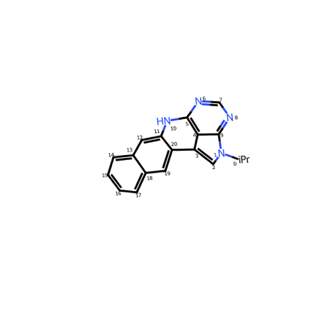 CC(C)n1cc2c3c(ncnc31)Nc1cc3ccccc3cc1-2